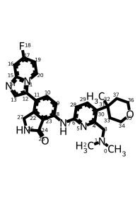 CN(C)Cc1nc(Nc2ccc(-c3cnc4cc(F)ccn34)c3c2C(=O)NC3)ccc1C1(C)CCOCC1